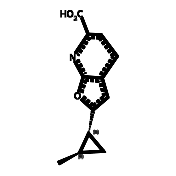 C[C@@H]1C[C@H]1c1cc2ccc(C(=O)O)nc2o1